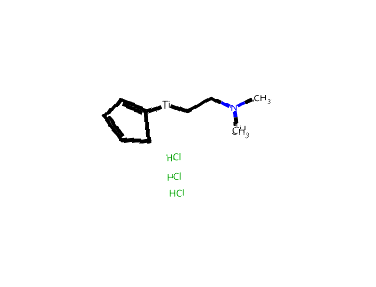 CN(C)C[CH2][Ti][C]1=CC=CC1.Cl.Cl.Cl